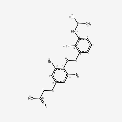 CC(C)Nc1cccc(COc2c(Br)cc(CCC(=O)O)cc2Br)c1F